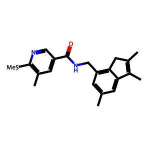 CSc1ncc(C(=O)NCc2cc(C)cc3c2CC(C)=C3C)cc1C